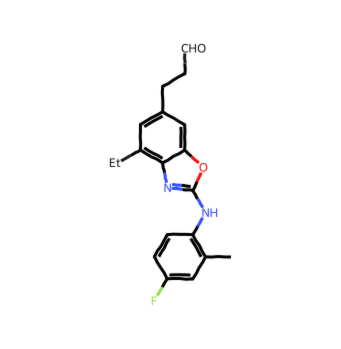 CCc1cc(CCC=O)cc2oc(Nc3ccc(F)cc3C)nc12